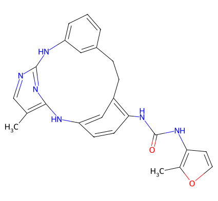 Cc1cnc2nc1Nc1ccc(NC(=O)Nc3ccoc3C)c(c1)CCc1cccc(c1)N2